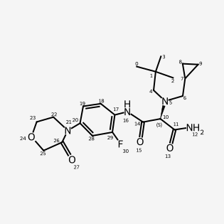 CC(C)(C)CN(CC1CC1)[C@@H](C(N)=O)C(=O)Nc1ccc(N2CCOCC2=O)cc1F